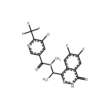 CC(c1n[nH]c(=O)c2cc(F)c(F)cc12)N(C)C(=O)c1cnc(C(F)(F)F)c(Cl)c1